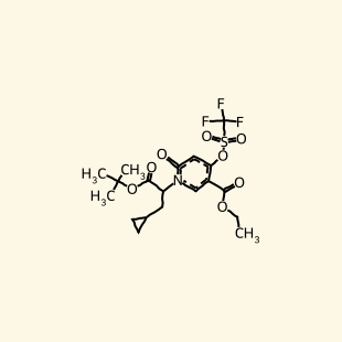 CCOC(=O)c1cn(C(CC2CC2)C(=O)OC(C)(C)C)c(=O)cc1OS(=O)(=O)C(F)(F)F